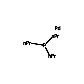 CCCP(CCC)CCC.[Pd]